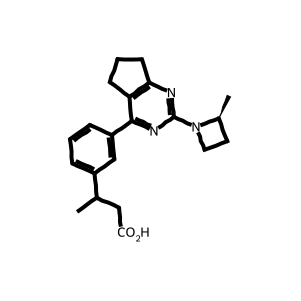 CC(CC(=O)O)c1cccc(-c2nc(N3CC[C@@H]3C)nc3c2CCC3)c1